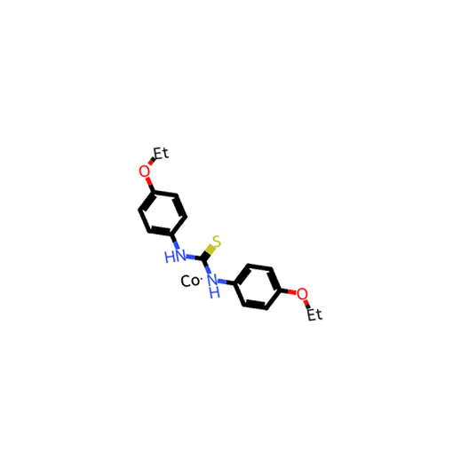 CCOc1ccc(NC(=S)Nc2ccc(OCC)cc2)cc1.[Co]